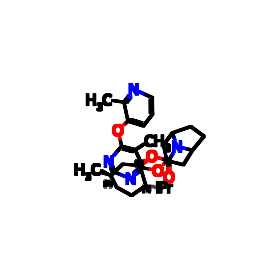 Cc1ncccc1Oc1ncnc(OC2CC3CCC(C2)N3C(=O)O[C@@H]2C[C@H](C)CC[C@H]2C(C)C)c1C